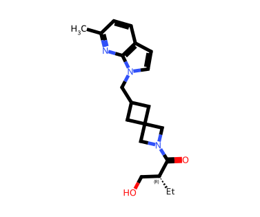 CC[C@H](CO)C(=O)N1CC2(CC(Cn3ccc4ccc(C)nc43)C2)C1